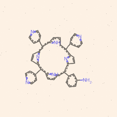 Nc1cccc(-c2c3nc(c(-c4ccncc4)c4ccc([nH]4)c(-c4ccncc4)c4nc(c(-c5ccncc5)c5ccc2[nH]5)C=C4)C=C3)c1